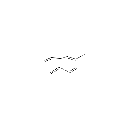 C=CC=C.C=CCC=CC